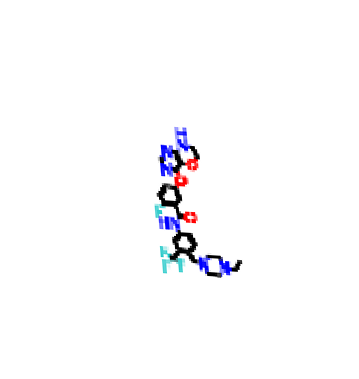 CCN1CCN(Cc2ccc(NC(=O)c3cc(Oc4ncnc5c4OCCN5)ccc3F)cc2C(F)(F)F)CC1